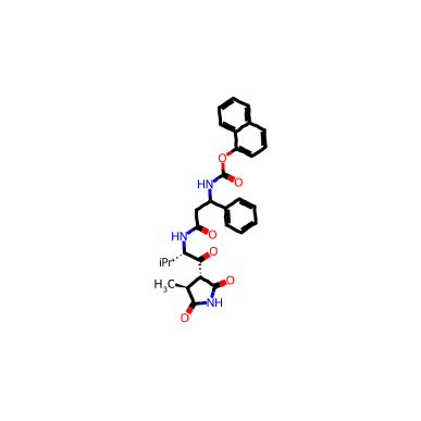 CC(C)[C@H](NC(=O)CC(NC(=O)Oc1cccc2ccccc12)c1ccccc1)C(=O)[C@@H]1C(=O)NC(=O)[C@H]1C